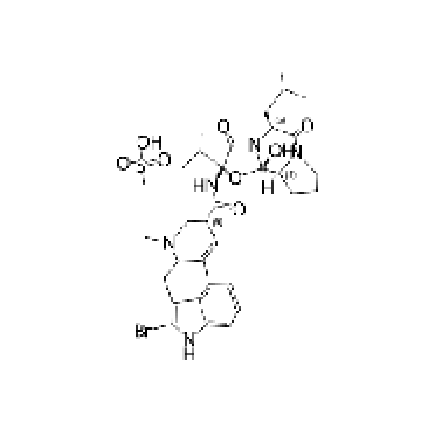 CC(C)C[C@H]1C(=O)N2CCC[C@H]2[C@]2(O)O[C@](NC(=O)[C@@H]3C=C4c5cccc6[nH]c(Br)c(c56)CC4N(C)C3)(C(C)C)C(=O)N12.CS(=O)(=O)O